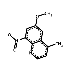 COc1cc([N+](=O)[O-])c2nccc(C)c2c1